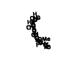 COc1cc(-c2cn(C)c(=O)c(C)c2C)cc(F)c1CN1CCC(N(C)C(=O)C2CCN(c3ccc(NC4CCC(=O)NC4=O)cc3Cl)CC2)CC1